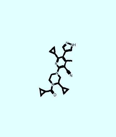 Cc1c(C#N)c(N2CCN(C(=O)C3CC3)C(C3CC3)C2)nc(C2CC2)c1-c1cn[nH]c1